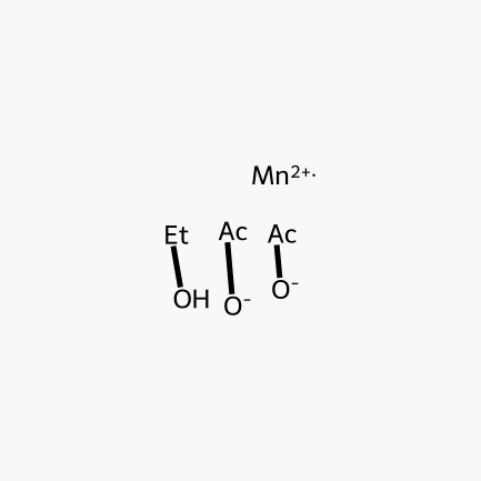 CC(=O)[O-].CC(=O)[O-].CCO.[Mn+2]